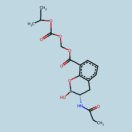 CCC(=O)N[C@H]1Cc2cccc(C(=O)OCOC(=O)OC(C)C)c2OB1O